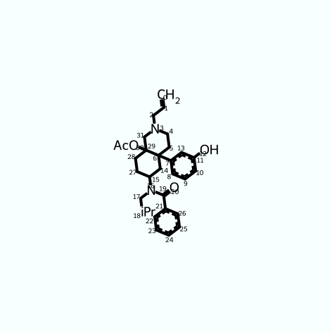 C=CCN1CCC2(c3cccc(O)c3)CC(N(CC(C)C)C(=O)c3ccccc3)CCC2(OC(C)=O)C1